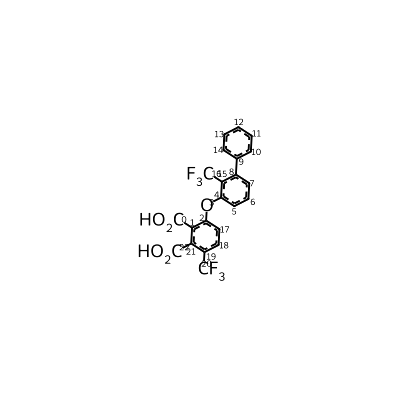 O=C(O)c1c(Oc2cccc(-c3ccccc3)c2C(F)(F)F)ccc(C(F)(F)F)c1C(=O)O